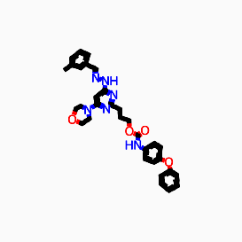 Cc1cccc(C=NNc2cc(N3CCOCC3)nc(CCCOC(=O)Nc3ccc(Oc4ccccc4)cc3)n2)c1